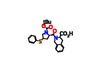 CC(C)(C)OC(=O)N1C[C@H](Sc2ccccc2)C[C@@H]1C(=O)N1Cc2ccccc2C[C@@H]1C(=O)O